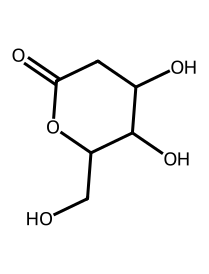 O=C1CC(O)C(O)C(CO)O1